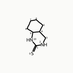 S=C1NCC2CCCCC2N1